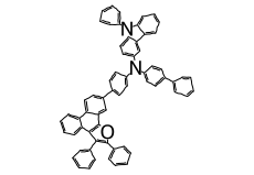 c1ccc(-c2ccc(N(c3ccc(-c4ccc5c6ccccc6c6c(-c7ccccc7)c(-c7ccccc7)oc6c5c4)cc3)c3ccc4c(c3)c3ccccc3n4-c3ccccc3)cc2)cc1